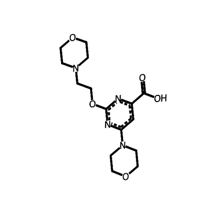 O=C(O)c1cc(N2CCOCC2)nc(OCCN2CCOCC2)n1